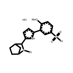 CCN1C2CCC(C2)C1c1ccc(-c2cc(S(=O)(=O)CC)ccc2OC)[nH]1.Cl